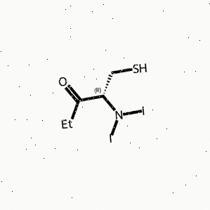 CCC(=O)[C@H](CS)N(I)I